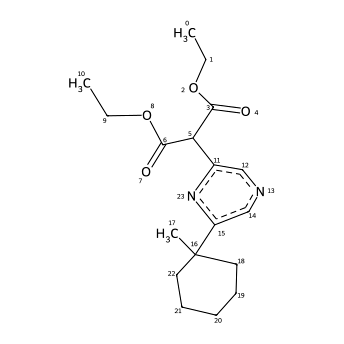 CCOC(=O)C(C(=O)OCC)c1cncc(C2(C)CCCCC2)n1